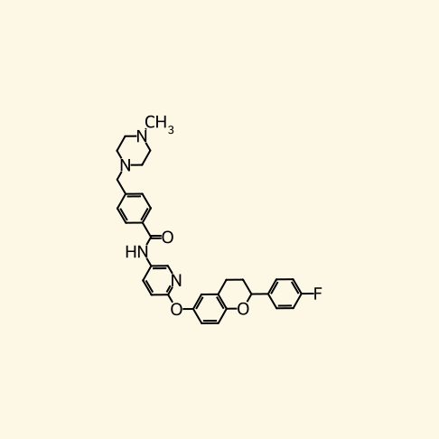 CN1CCN(Cc2ccc(C(=O)Nc3ccc(Oc4ccc5c(c4)CCC(c4ccc(F)cc4)O5)nc3)cc2)CC1